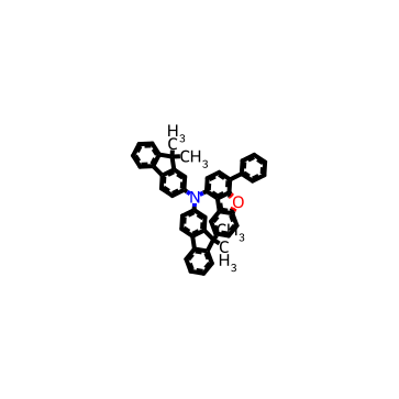 CC1(C)c2ccccc2-c2ccc(N(c3ccc4c(c3)C(C)(C)c3ccccc3-4)c3ccc(-c4ccccc4)c4oc5ccccc5c34)cc21